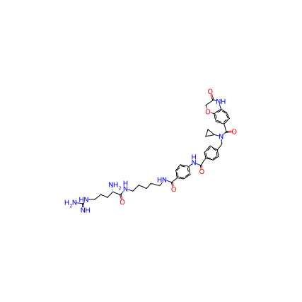 N=C(N)NCCC[C@H](N)C(=O)NCCCCCNC(=O)c1ccc(NC(=O)c2ccc(CN(C(=O)c3ccc4c(c3)OCC(=O)N4)C3CC3)cc2)cc1